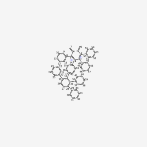 C=C/C(=C(\C(=C(/C=C)c1ccccc1)c1ccc(-c2c(-c3ccccc3)ccc(-c3ccccc3)c2-c2ccccc2)cc1)c1ccccc1)c1ccccc1